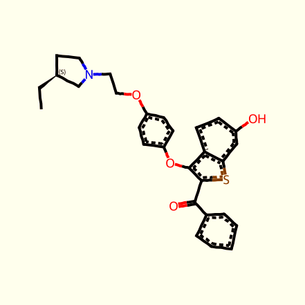 CC[C@H]1CCN(CCOc2ccc(Oc3c(C(=O)c4ccccc4)sc4cc(O)ccc34)cc2)C1